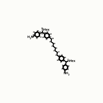 CCCCCCC(c1ccc(N)cc1)c1ccc(CCCCCCCCc2ccc(C(CCCCCC)c3ccc(N)cc3)cc2)cc1